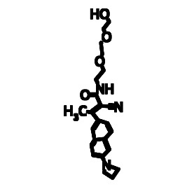 C/C(=C(/C#N)C(=O)NCCOCCOCCO)c1ccc2cc(N3CCC3)ccc2c1